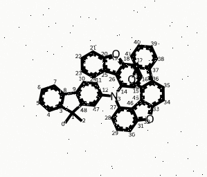 CC1(C)c2ccccc2-c2ccc(N(c3cccc4oc5ccccc5c34)c3cccc4oc5ccc6c7ccccc7oc6c5c34)cc21